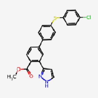 COC(=O)c1ccc(-c2ccc(Sc3ccc(Cl)cc3)cc2)cc1-c1cc[nH]n1